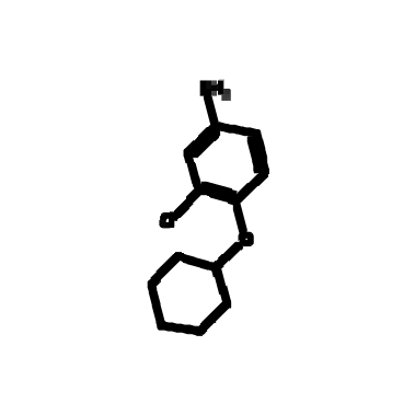 Nc1ccc(OC2CCCCC2)c(Cl)c1